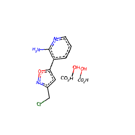 Nc1ncccc1-c1cc(CCl)no1.O=C(O)O.O=C(O)O